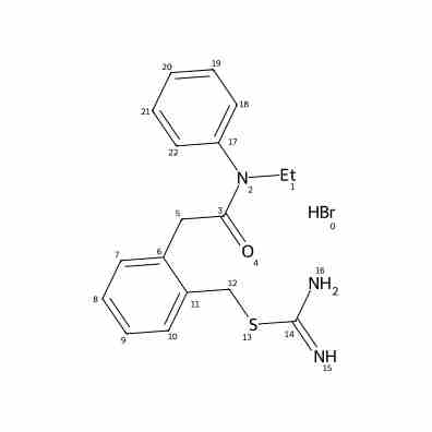 Br.CCN(C(=O)Cc1ccccc1CSC(=N)N)c1ccccc1